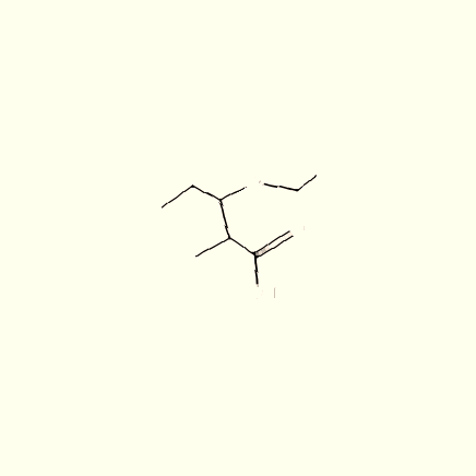 CCOC(CC)C(C)C(=O)O